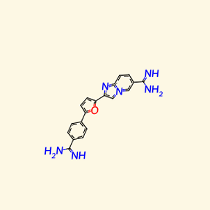 N=C(N)c1ccc(-c2ccc(-c3cn4cc(C(=N)N)ccc4n3)o2)cc1